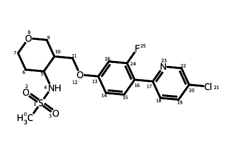 CS(=O)(=O)NC1CCOCC1COc1ccc(-c2ccc(Cl)cn2)c(F)c1